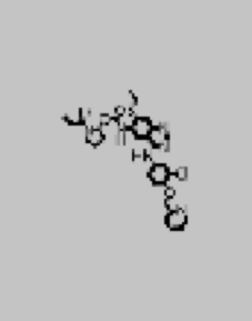 C=CC(=O)N1CCC[C@@H]1OC(=O)Nc1cc2c(Nc3ccc(OCc4ccccn4)c(Cl)c3)ncnc2cc1SCC